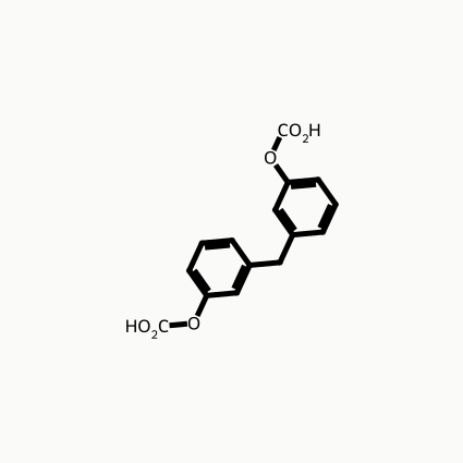 O=C(O)Oc1cccc(Cc2cccc(OC(=O)O)c2)c1